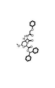 CO[C@@H]1C[C@H]2[C@H](NC(=O)COc3ccccc3)C(=O)N2[C@@H](C(=O)OC(c2ccccc2)c2ccccc2)O1